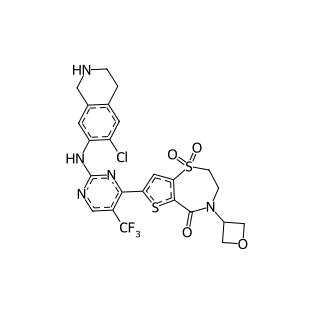 O=C1c2sc(-c3nc(Nc4cc5c(cc4Cl)CCNC5)ncc3C(F)(F)F)cc2S(=O)(=O)CCN1C1COC1